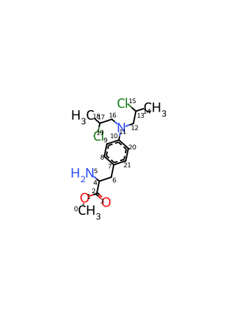 COC(=O)C(N)Cc1ccc(N(CC(C)Cl)CC(C)Cl)cc1